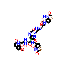 COc1ccc2ccc(=O)n(C[C@@H](O)CNC[C@@H]3CN(C(Oc4nc5c(cc4F)ncc(=O)n5CCCNC[C@@H]4CN(c5ccc6c(c5)NC(=O)CS6)C(=O)O4)c4ccc5c(c4)NC(=O)CS5)C(=O)O3)c2c1